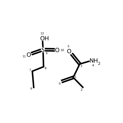 C=C(C)C(N)=O.CCCS(=O)(=O)O